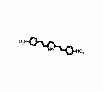 O=[N+]([O-])c1ccc(/C=C/c2ccc(/C=C/c3ccc([N+](=O)[O-])cc3)nn2)cc1